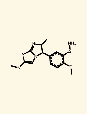 CNC1=CN2C(=NC(C)C2c2ccc(OC)c(SN)c2)S1